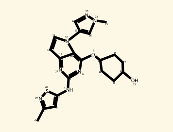 Cc1cc(Nc2nc(OC3CCC(O)CC3)c3c(ccn3-c3cnn(C)c3)n2)sn1